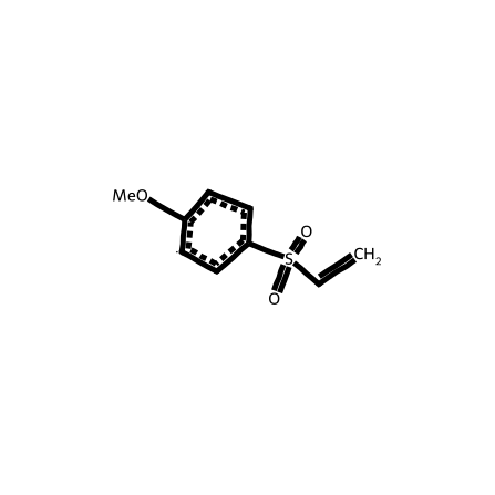 C=CS(=O)(=O)c1c[c]c(OC)cc1